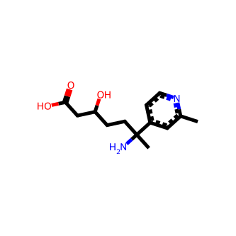 Cc1cc(C(C)(N)CCC(O)CC(=O)O)ccn1